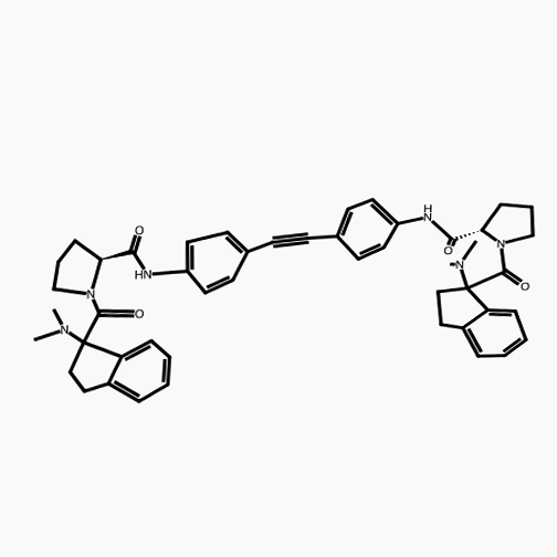 CN(C)C1(C(=O)N2CCC[C@H]2C(=O)Nc2ccc(C#Cc3ccc(NC(=O)[C@@H]4CCCN4C(=O)C4(N(C)C)CCc5ccccc54)cc3)cc2)CCc2ccccc21